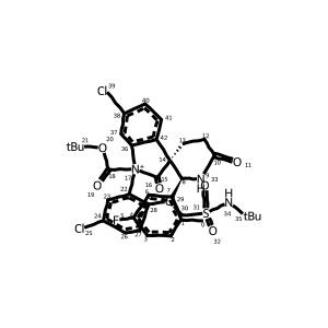 Cc1ccc(F)cc1[C@@H]1NC(=O)CC[C@@]12C(=O)[N+](C(=O)OC(C)(C)C)(c1cc(Cl)ccc1OCS(=O)(=O)NC(C)(C)C)c1cc(Cl)ccc12